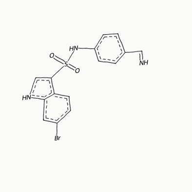 N=Cc1ccc(NS(=O)(=O)c2c[nH]c3cc(Br)ccc23)cc1